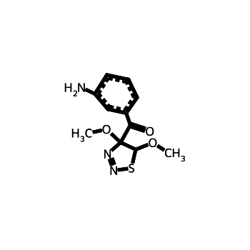 COC1SN=NC1(OC)C(=O)c1cccc(N)c1